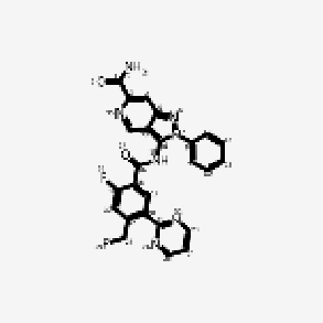 NC(=O)c1cc2nn(-c3ccccc3)c(NC(=O)c3cc(-c4ncccn4)c(CF)cc3F)c2cn1